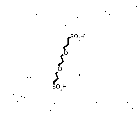 O=S(=O)(O)CCCOCCCOCCCS(=O)(=O)O